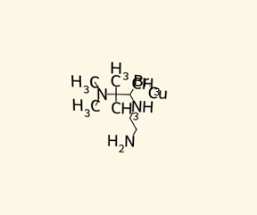 CC(NCCN)C(C)(C)N(C)C.[Cu][Br]